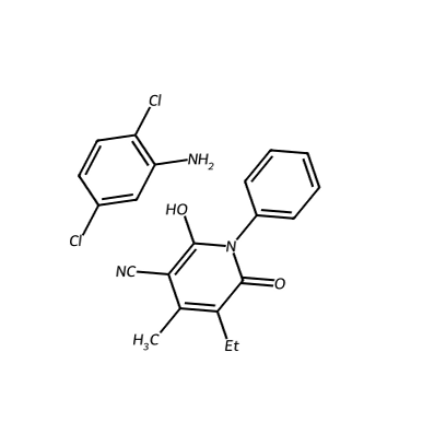 CCc1c(C)c(C#N)c(O)n(-c2ccccc2)c1=O.Nc1cc(Cl)ccc1Cl